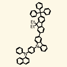 CCC1(CC)c2cc(-c3ccc4c(c3)c3ccccc3n4-c3ccc(N(c4ccccc4)c4cccc5ccccc45)cc3)ccc2-c2ccc(C(c3ccccc3)(c3ccccc3)c3ccccc3)cc21